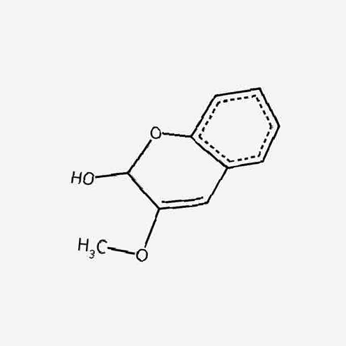 COC1=Cc2ccccc2OC1O